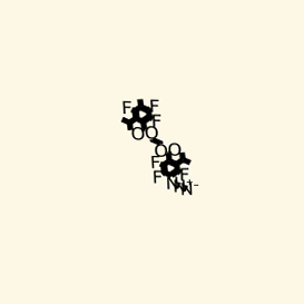 Cc1c(F)c(F)c(C(=O)OCCOC(=O)c2c(F)c(F)c(N=[N+]=[N-])c(F)c2C(C)C)c(C(C)C)c1F